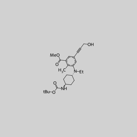 CCN(c1cc(C#CCO)cc(C(=O)OC)c1C)[C@H]1CC[C@H](NC(=O)OC(C)(C)C)CC1